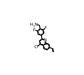 C=Cc1ccc2c(Cl)cc(-c3cc(F)c(CN)c(F)c3)nc2c1